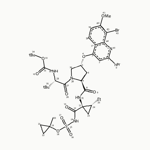 CCCc1cc(O[C@@H]2C[C@@H](C(=O)N[C@]3(C(=O)NS(=O)(=O)OC4(C)CC4)C[C@H]3CC)N(C(=O)[C@@H](NC(=O)OC(C)(C)C)C(C)(C)C)C2)c2ccc(OC)c(Br)c2n1